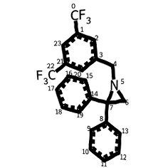 FC(F)(F)c1cc(CN2CC2(c2ccccc2)c2ccccc2)cc(C(F)(F)F)c1